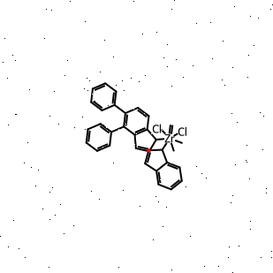 [CH2]=[Zr]([CH3])([CH3])([Cl])([Cl])([CH]1C=Cc2ccccc21)[CH]1C=Cc2c1ccc(-c1ccccc1)c2-c1ccccc1